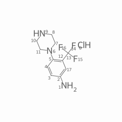 Cl.Nc1ccc(N2CCNCC2)c(C(F)(F)F)c1